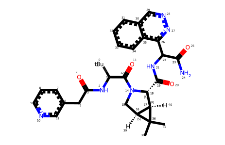 CC(C)(C)C(NC(=O)Cc1cccnc1)C(=O)N1C[C@H]2[C@@H]([C@H]1C(=O)NC(C(N)=O)c1nncc3ccccc13)C2(C)C